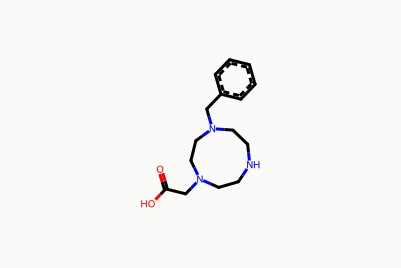 O=C(O)CN1CCNCCN(Cc2ccccc2)CC1